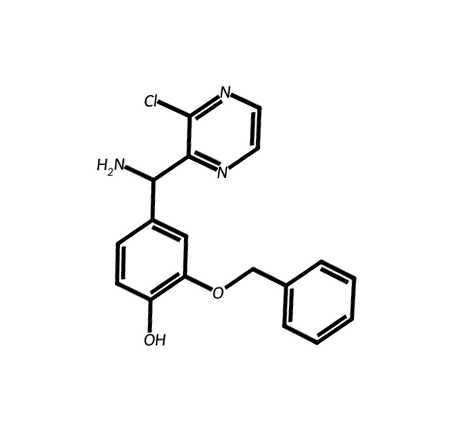 NC(c1ccc(O)c(OCc2ccccc2)c1)c1nccnc1Cl